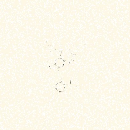 CN1C(CCC(C)(F)F)CN(C2CC(F)(F)C2)c2cc(C(F)(F)F)c(OCc3cccnc3C(=O)O)cc2S1(=O)=O